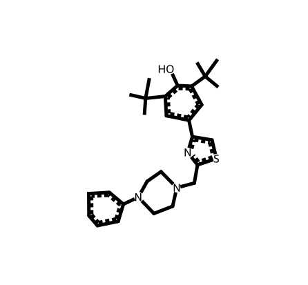 CC(C)(C)c1cc(-c2csc(CN3CCN(c4ccccc4)CC3)n2)cc(C(C)(C)C)c1O